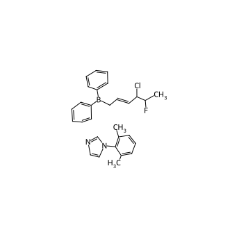 CC(F)C(Cl)C=CCB(c1ccccc1)c1ccccc1.Cc1cccc(C)c1-n1ccnc1